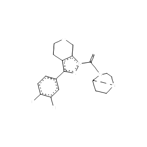 O=C(N1CCN2CCC1CC2)n1nc(-c2ccc(F)c(Cl)c2)c2c1COCC2